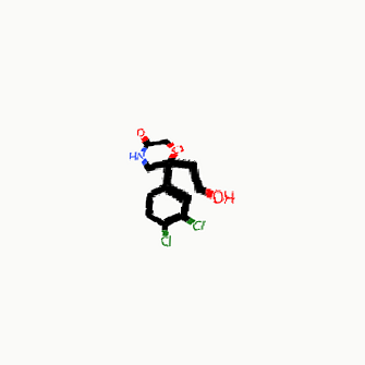 O=C1COC(CCO)(c2ccc(Cl)c(Cl)c2)CN1